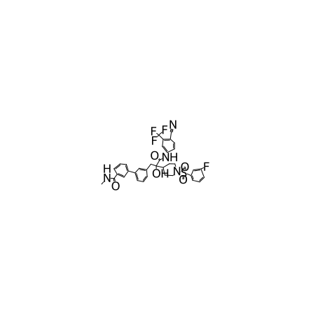 CNC(=O)c1cccc(-c2cccc(CC(O)(C(=O)Nc3ccc(C#N)c(C(F)(F)F)c3)C3CCN(S(=O)(=O)c4cccc(F)c4)CC3)c2)c1